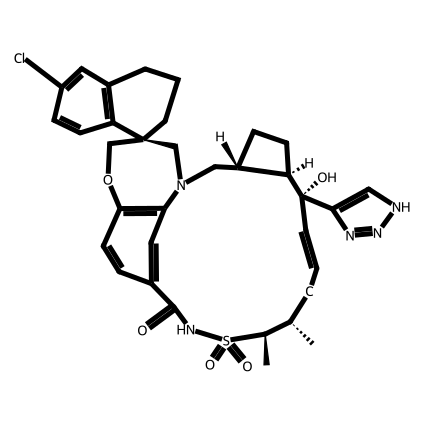 C[C@@H]1[C@@H](C)C/C=C/[C@](O)(c2c[nH]nn2)[C@@H]2CC[C@H]2CN2C[C@@]3(CCCc4cc(Cl)ccc43)COc3ccc(cc32)C(=O)NS1(=O)=O